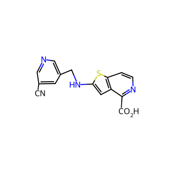 N#Cc1cncc(CNc2cc3c(C(=O)O)nccc3s2)c1